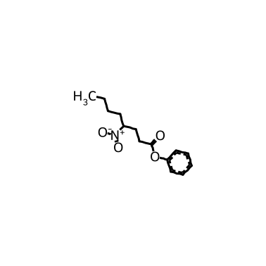 CCCCC(CCC(=O)Oc1ccccc1)[N+](=O)[O-]